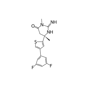 CN1C(=N)N[C@](C)(c2cc(-c3cc(F)cc(F)c3)cs2)CC1=O